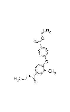 C=COC(=O)c1ccc(Oc2ccc(C(=O)OC=C)cc2C)cc1